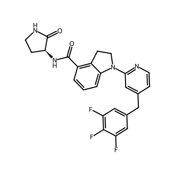 O=C(N[C@H]1CCNC1=O)c1cccc2c1CCN2c1cc(Cc2cc(F)c(F)c(F)c2)ccn1